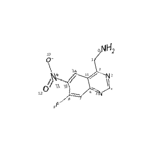 NCc1ncnc2cc(F)c([N+](=O)[O-])cc12